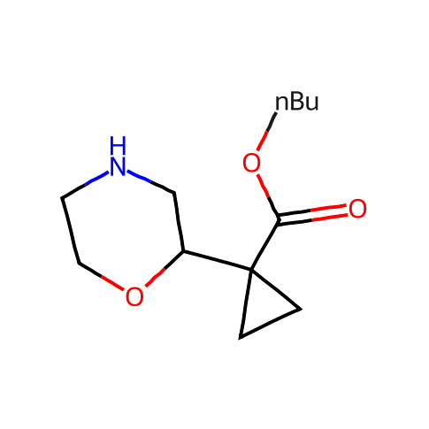 CCCCOC(=O)C1(C2CNCCO2)CC1